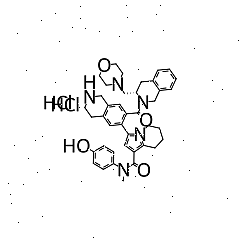 CN(C(=O)c1cc(-c2cc3c(cc2C(=O)N2Cc4ccccc4C[C@H]2CN2CCOCC2)CNCC3)n2c1CCCC2)c1ccc(O)cc1.Cl.Cl